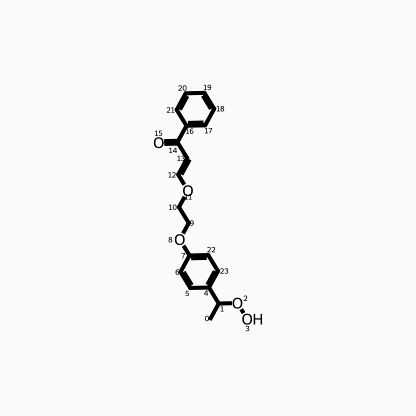 CC(OO)c1ccc(OCCO/C=C/C(=O)c2ccccc2)cc1